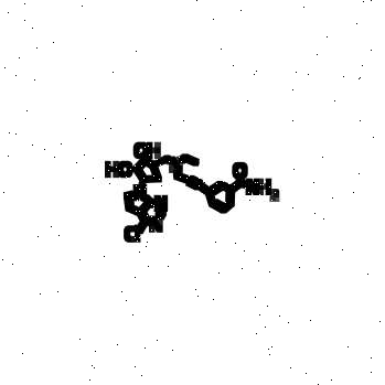 CCN(CC#Cc1cccc(C(N)=O)c1)C[C@H]1C[C@@H](n2ccc3c(Cl)ncnc32)[C@H](O)[C@@H]1O